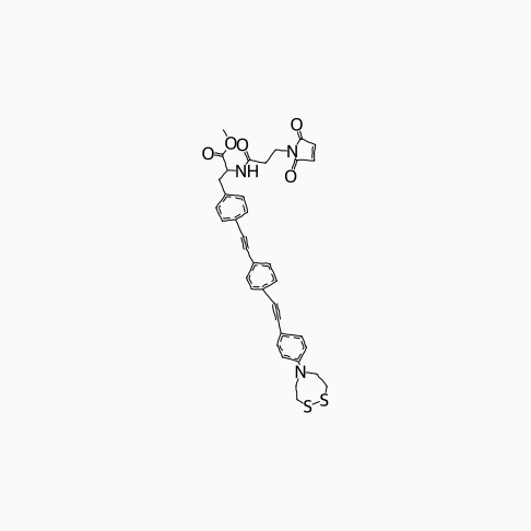 COC(=O)C(Cc1ccc(C#Cc2ccc(C#Cc3ccc(N4CCSSCC4)cc3)cc2)cc1)NC(=O)CCN1C(=O)C=CC1=O